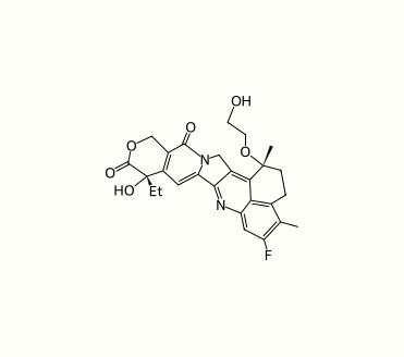 CC[C@@]1(O)C(=O)OCc2c1cc1n(c2=O)Cc2c-1nc1cc(F)c(C)c3c1c2[C@](C)(OCCO)CC3